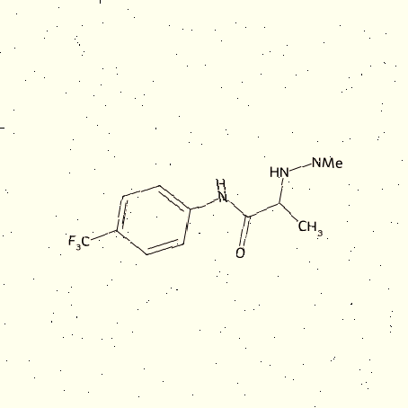 CNNC(C)C(=O)Nc1ccc(C(F)(F)F)cc1